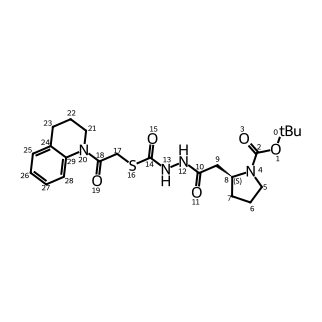 CC(C)(C)OC(=O)N1CCC[C@H]1CC(=O)NNC(=O)SCC(=O)N1CCCc2ccccc21